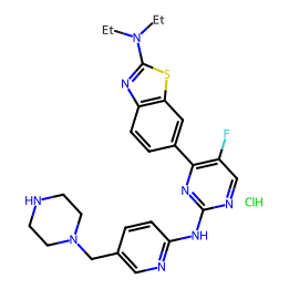 CCN(CC)c1nc2ccc(-c3nc(Nc4ccc(CN5CCNCC5)cn4)ncc3F)cc2s1.Cl